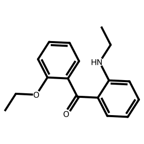 CCNc1ccccc1C(=O)c1ccccc1OCC